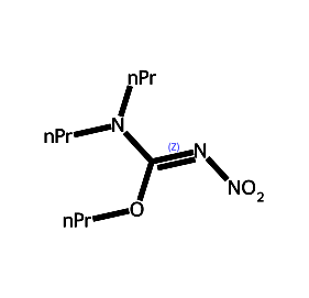 CCCO/C(=N\[N+](=O)[O-])N(CCC)CCC